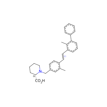 Cc1cc(CN2CCCC[C@H]2C(=O)O)ccc1/C=C/c1cccc(-c2ccccc2)c1C